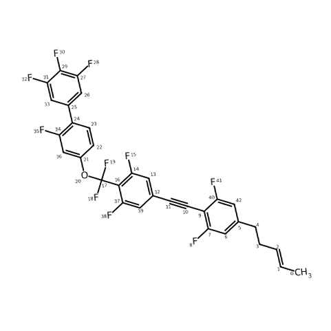 C/C=C/CCc1cc(F)c(C#Cc2cc(F)c(C(F)(F)Oc3ccc(-c4cc(F)c(F)c(F)c4)c(F)c3)c(F)c2)c(F)c1